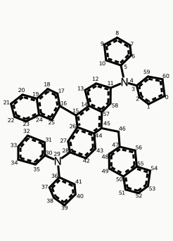 c1ccc(N(c2ccccc2)c2ccc3c(-c4ccc5ccccc5c4)c4cc(N(c5ccccc5)c5ccccc5)ccc4c(Cc4ccc5ccccc5c4)c3c2)cc1